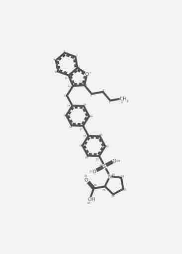 CCCCc1oc2ccccc2c1Cc1ccc(-c2ccc(S(=O)(=O)N3CCCC3C(=O)O)cc2)cc1